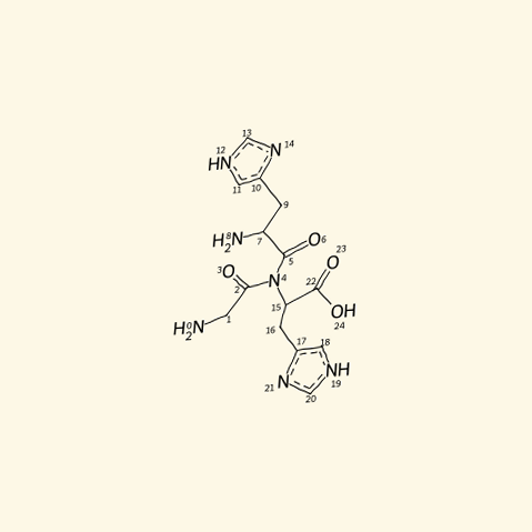 NCC(=O)N(C(=O)C(N)Cc1c[nH]cn1)C(Cc1c[nH]cn1)C(=O)O